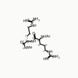 CNC(=O)[C@H](CCCNC(=N)N)NC(=O)C(CCCNC(=N)N)NC(C)=O